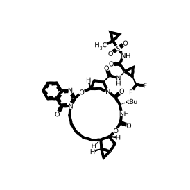 CC(C)(C)[C@@H]1NC(=O)O[C@@H]2CC3C[C@@H]3[C@H]2CCCCCn2c(nc3ccccc3c2=O)O[C@@H]2C[C@@H](C(=O)N[C@]3(C(=O)NS(=O)(=O)C4(C)CC4)C[C@H]3C(F)F)N(C2)C1=O